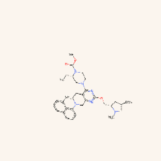 CO[C@@H]1C[C@@H](COc2nc3c(c(N4CCN(C(=O)OC(C)(C)C)[C@@H](CC#N)C4)n2)CCN(c2cccc4cccc(C)c24)C3)N(C)C1